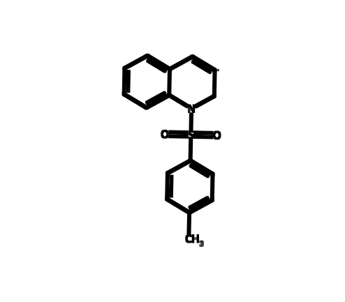 Cc1ccc(S(=O)(=O)N2C[C]=Cc3ccccc32)cc1